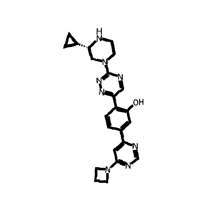 Oc1cc(-c2cc(N3CCC3)ncn2)ccc1-c1cnc(N2CCN[C@@H](C3CC3)C2)nn1